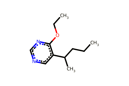 CCCC(C)c1cncnc1OCC